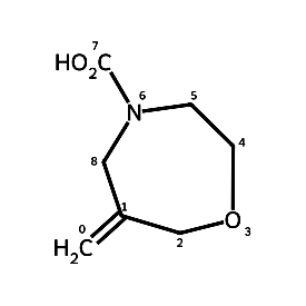 C=C1COCCN(C(=O)O)C1